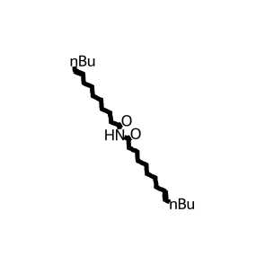 CCCCC=CCCCCCCCC(=O)NC(=O)CCCCCCCC=CCCCC